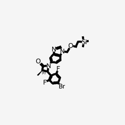 C[C@H]1C(=O)N(c2ccc3c(c2)ncn3COCC[Si](C)(C)C)C1c1c(F)cc(Br)cc1F